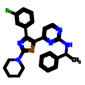 CC(Nc1nccc(-c2sc(N3CCCCC3)nc2-c2cccc(F)c2)n1)c1ccccc1